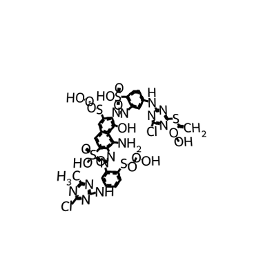 C=C(OO)Sc1nc(Cl)nc(Nc2ccc(S(=O)(=O)O)c(N=Nc3c(SOOO)cc4cc(S(=O)(=O)O)c(N=Nc5cc(Nc6nc(C)nc(Cl)n6)ccc5SOOO)c(N)c4c3O)c2)n1